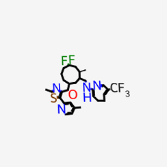 Cc1ccnc(-c2sc(C)nc2C(=O)C2CCCC(F)(F)C[C@@H](C)C(CNC3=C/CC/C=C(C(F)(F)F)/C=N\3)C2)c1